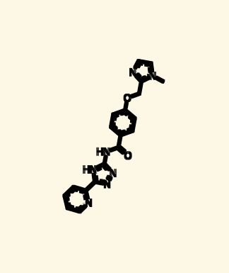 Cn1ccnc1COc1ccc(C(=O)Nc2nnc(-c3ccccn3)[nH]2)cc1